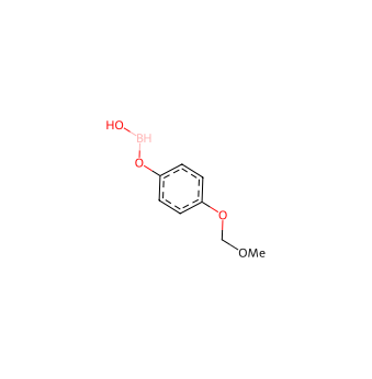 COCOc1ccc(OBO)cc1